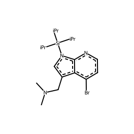 CC(C)[Si](C(C)C)(C(C)C)n1cc(CN(C)C)c2c(Br)ccnc21